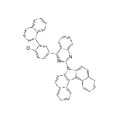 c1ccc2c(c1)ccc1oc3ccc(-c4nc(-n5c6ccc7ccccc7c6c6c7ccccc7ccc65)nc5ccccc45)cc3c12